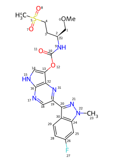 COC[C@H](CCS(C)(=O)=O)NC(=O)Oc1c[nH]c2ncc(-c3nn(C)c4cc(F)ccc34)nc12